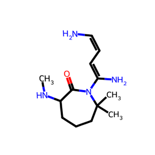 CNC1CCCC(C)(C)N(/C(N)=C/C=C\N)C1=O